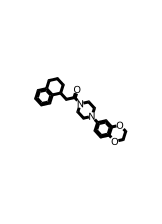 O=C(CC1CCCc2ccccc21)N1CCN(c2ccc3c(c2)OCCO3)CC1